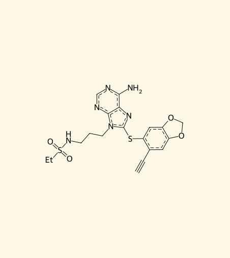 C#Cc1cc2c(cc1Sc1nc3c(N)ncnc3n1CCCNS(=O)(=O)CC)OCO2